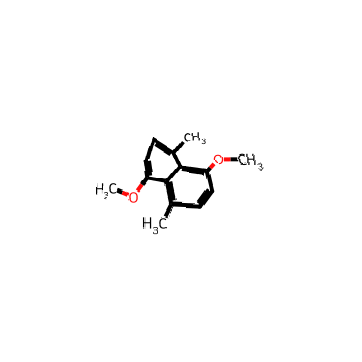 COc1ccc(C)c2c(OC)ccc(C)c12